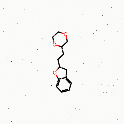 c1ccc2c(c1)CC(CCC1COCCO1)O2